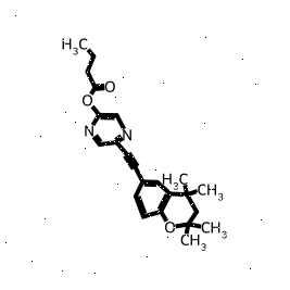 CCCC(=O)Oc1cnc(C#Cc2ccc3c(c2)C(C)(C)CC(C)(C)O3)cn1